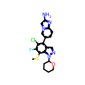 CSc1c(F)c(Cl)c(-c2ccc3nc(N)cn3c2)c2cnn(C3CCCCO3)c12